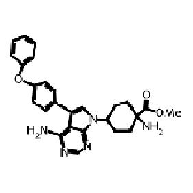 COC(=O)C1(N)CCC(n2cc(-c3ccc(Oc4ccccc4)cc3)c3c(N)ncnc32)CC1